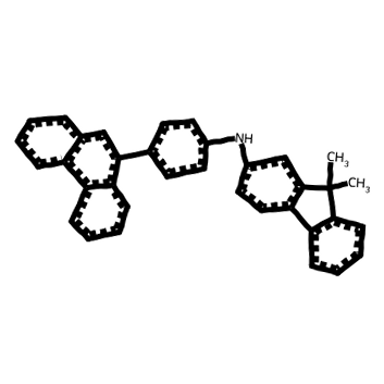 CC1(C)c2ccccc2-c2ccc(Nc3ccc(-c4cc5ccccc5c5ccccc45)cc3)cc21